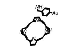 C1=Cc2cc3ccc(cc4nc(cc5ccc(cc1n2)[nH]5)C=C4)[nH]3.NCc1cc[c]([Au])cc1